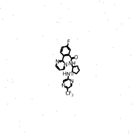 O=C(NC1CCC[C@@H]1Nc1cnc(C(F)(F)F)cn1)c1cc(F)ccc1-c1ncccn1